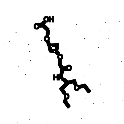 CCOCC(COCC)NC(=O)COC1CC(OCC(=O)O)C1